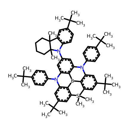 CC(C)(C)c1ccc(N2c3cc(N4c5ccc(C(C)(C)C)cc5C5(C)CCCCC45C)cc4c3B3c5c2cc(C(C)(C)C)cc5[Si](C)(C)c2cc(C(C)(C)C)cc(c23)N4c2ccc(C(C)(C)C)cc2)cc1